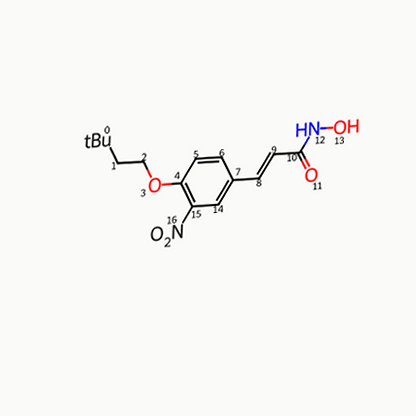 CC(C)(C)CCOc1ccc(/C=C/C(=O)NO)cc1[N+](=O)[O-]